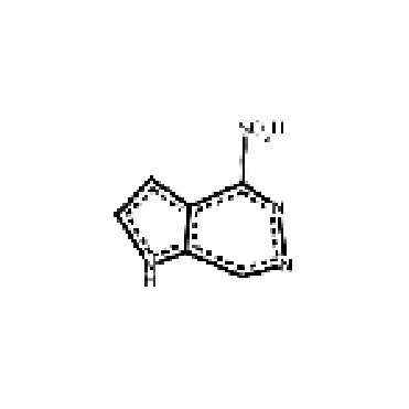 O=S(=O)(O)c1nncc2[nH]ccc12